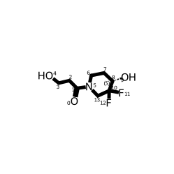 O=C(CCO)N1CC[C@H](O)C(F)(F)C1